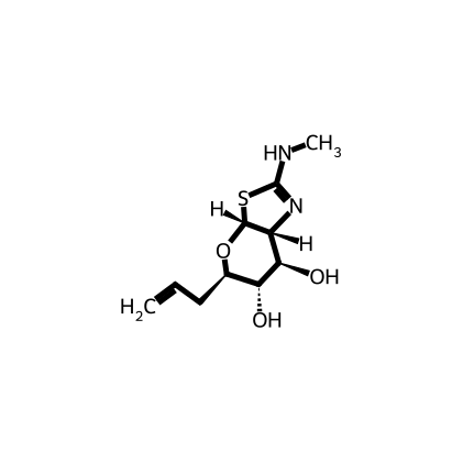 C=CC[C@H]1O[C@@H]2SC(NC)=N[C@@H]2[C@@H](O)[C@@H]1O